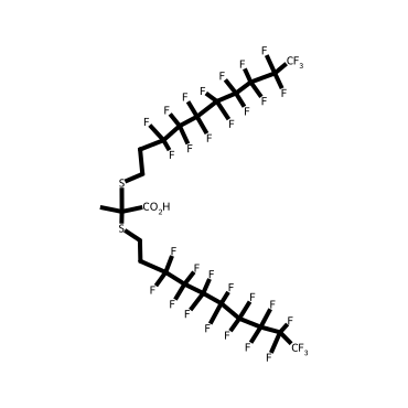 CC(SCCC(F)(F)C(F)(F)C(F)(F)C(F)(F)C(F)(F)C(F)(F)C(F)(F)C(F)(F)F)(SCCC(F)(F)C(F)(F)C(F)(F)C(F)(F)C(F)(F)C(F)(F)C(F)(F)C(F)(F)F)C(=O)O